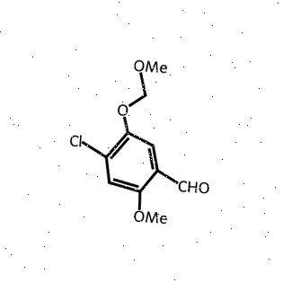 COCOc1cc(C=O)c(OC)cc1Cl